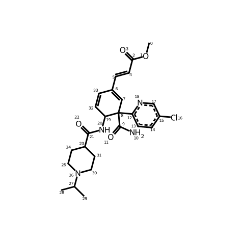 COC(=O)C=CC1=CC(C(N)=O)(c2ccc(Cl)cn2)C(NC(=O)C2CCN(C(C)C)CC2)C=C1